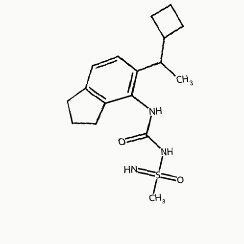 CC(c1ccc2c(c1NC(=O)NS(C)(=N)=O)CCC2)C1CCC1